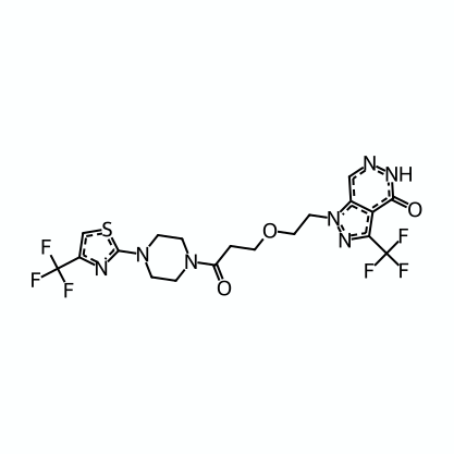 O=C(CCOCCn1nc(C(F)(F)F)c2c(=O)[nH]ncc21)N1CCN(c2nc(C(F)(F)F)cs2)CC1